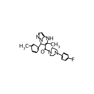 CC1=C(C(=O)N2CCN(c3ccc(F)cc3)CC2)C(c2cccc(C)c2)n2nccc2N1